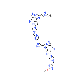 COc1ncc(CN2CCN(c3ccc(-c4nc(-c5cnn(Cc6ccnc(CN7CCN(c8ccc(-c9nc(-c%10cnn(C)c%10)cn%10ncc(C#N)c9%10)cn8)CC7)n6)c5)cn5ncc(C#N)c45)cn3)CC2)cn1